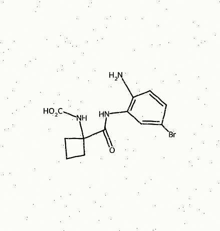 Nc1ccc(Br)cc1NC(=O)C1(NC(=O)O)CCC1